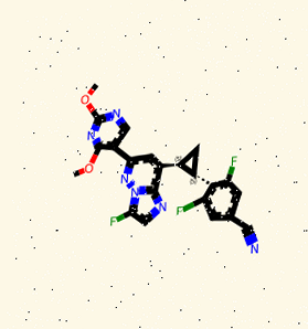 COc1ncc(-c2cc([C@H]3C[C@@H]3c3c(F)cc(C#N)cc3F)c3ncc(F)n3n2)c(OC)n1